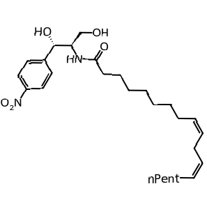 CCCCC/C=C\C/C=C\CCCCCCCC(=O)N[C@H](CO)[C@@H](O)c1ccc([N+](=O)[O-])cc1